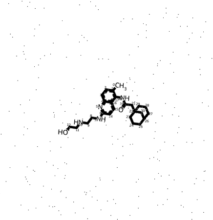 Cc1ccc2nc(NCCNCCO)ccc2c1NC(=O)CC12CCCC(CCC1)C2